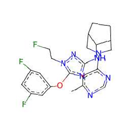 Cc1cc(N2CC3CCC(C2)C3Nc2nc(Oc3cc(F)cc(F)c3)n(CCF)n2)ncn1